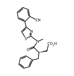 CN(C(=O)[C@@H](CC(=O)O)Cc1ccccc1)c1nc(-c2ccccc2C#N)cs1